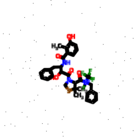 Cc1c(O)cccc1C(=O)NC(Cc1ccccc1)C(O)C(=O)N1CSC(C)(C)C1C(=O)[N+](F)(Cc1ccccc1)C(F)(F)F